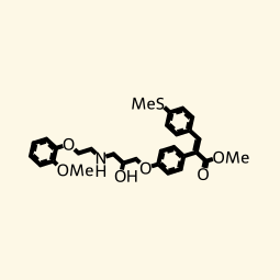 COC(=O)/C(=C/c1ccc(SC)cc1)c1ccc(OCC(O)CNCCOc2ccccc2OC)cc1